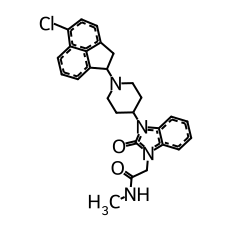 CNC(=O)Cn1c(=O)n(C2CCN(C3Cc4ccc(Cl)c5cccc3c45)CC2)c2ccccc21